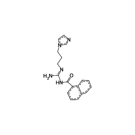 NC(=NCCCn1ccnc1)NC(=O)c1cccc2ccccc12